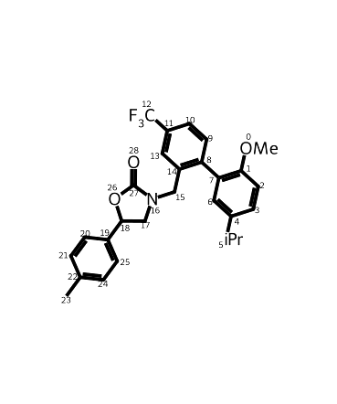 COc1ccc(C(C)C)cc1-c1ccc(C(F)(F)F)cc1CN1CC(c2ccc(C)cc2)OC1=O